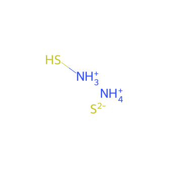 [NH3+]S.[NH4+].[S-2]